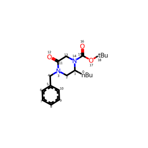 CCCCC1CN(Cc2ccccc2)C(=O)CN1C(=O)OC(C)(C)C